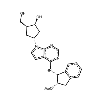 CO[C@H]1Cc2ccccc2[C@H]1Nc1ncnc2c1ccn2[C@@H]1C[C@@H](CO)[C@@H](O)C1